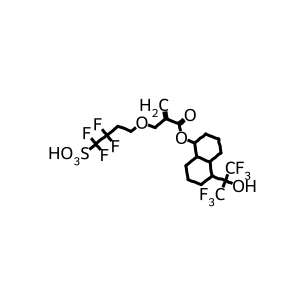 C=C(COCCC(F)(F)C(F)(F)S(=O)(=O)O)C(=O)OC1CCCC2C1CCCC2C(O)(C(F)(F)F)C(F)(F)F